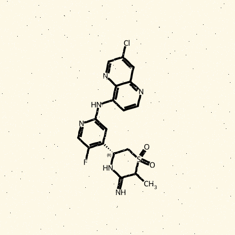 CC1C(=N)N[C@H](c2cc(Nc3ccnc4cc(Cl)cnc34)ncc2F)CS1(=O)=O